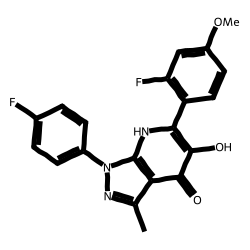 COc1ccc(-c2[nH]c3c(c(C)nn3-c3ccc(F)cc3)c(=O)c2O)c(F)c1